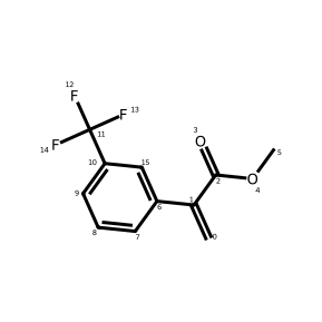 C=C(C(=O)OC)c1cccc(C(F)(F)F)c1